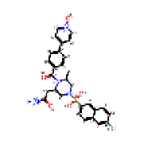 CC1CN(S(=O)(=O)c2ccc3cc(Cl)ccc3c2)CC(CC(N)=O)N1C(=O)c1ccc(-c2cc[n+]([O-])cc2)cc1